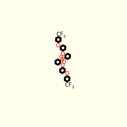 O=S(=O)(c1ccccc1Oc1cccc(Oc2ccc(C(F)(F)F)cc2)c1)c1ccccc1Oc1cccc(Oc2ccc(C(F)(F)F)cc2)c1